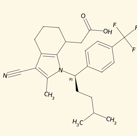 Cc1c(C#N)c2c(n1[C@H](CCC(C)C)c1ccc(C(F)(F)F)cc1)C(CC(=O)O)CCC2